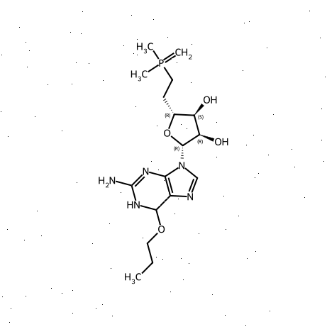 C=P(C)(C)CC[C@H]1O[C@@H](n2cnc3c2N=C(N)NC3OCCC)[C@H](O)[C@@H]1O